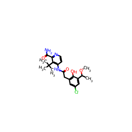 COC(C)c1cc(Cl)cc(CC(=O)Nc2ccnc(C(N)=O)c2C(C)(C)C)c1O